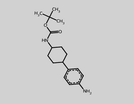 CC(C)(C)OC(=O)NC1CCC(c2ccc(N)cc2)CC1